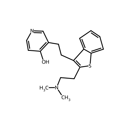 CN(C)CCc1sc2ccccc2c1CCc1cnccc1O